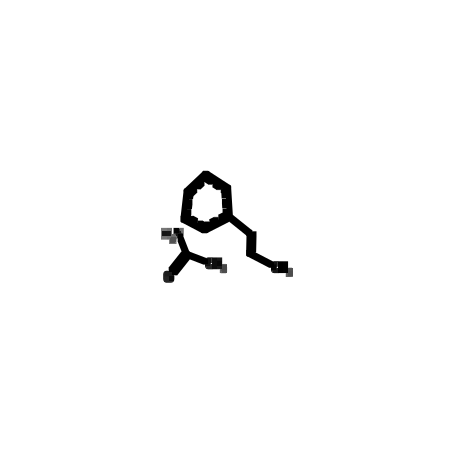 CC(N)=O.CC=Cc1ccccc1